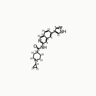 O=C(Nc1cc2cc(-c3cn[nH]c3)ccc2cn1)C1CCN(C2CC2)CC1